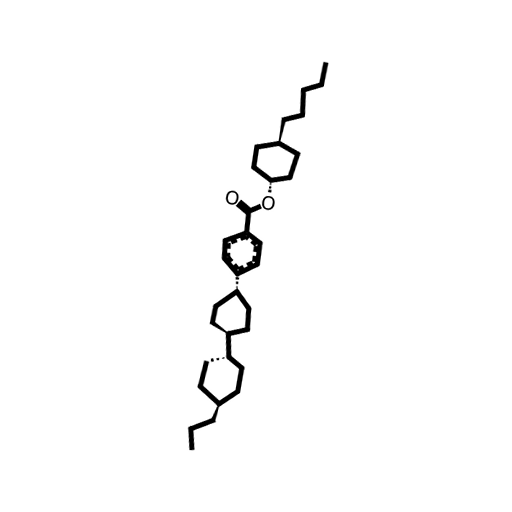 CCCCC[C@H]1CC[C@H](OC(=O)c2ccc([C@H]3CC[C@H]([C@H]4CC[C@H](CCC)CC4)CC3)cc2)CC1